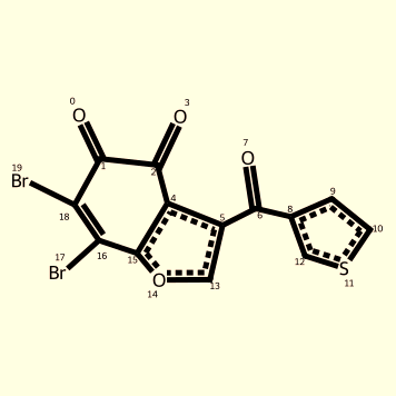 O=C1C(=O)c2c(C(=O)c3ccsc3)coc2C(Br)=C1Br